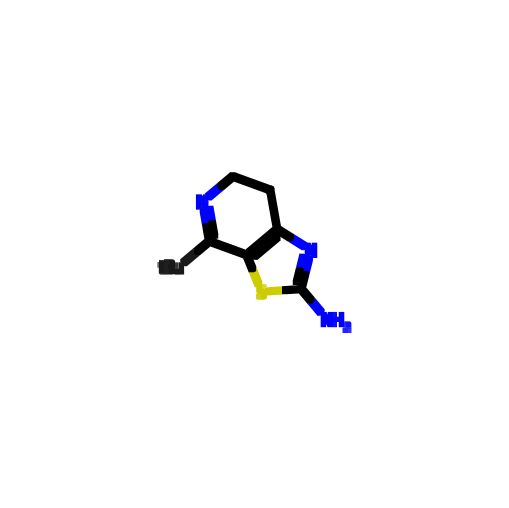 CC(C)(C)C1=NCCc2nc(N)sc21